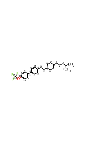 CC(C)CCCC1CCC(CCc2ccc(-c3ccc(OC(F)(F)F)cc3)cc2)CC1